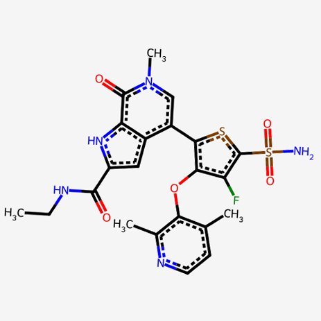 CCNC(=O)c1cc2c(-c3sc(S(N)(=O)=O)c(F)c3Oc3c(C)ccnc3C)cn(C)c(=O)c2[nH]1